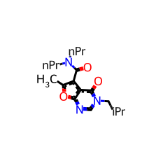 CCCN(CCC)C(=O)c1c(C)oc2ncn(CC(C)C)c(=O)c12